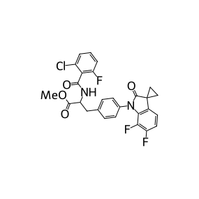 COC(=O)C(Cc1ccc(N2C(=O)C3(CC3)c3ccc(F)c(F)c32)cc1)NC(=O)c1c(F)cccc1Cl